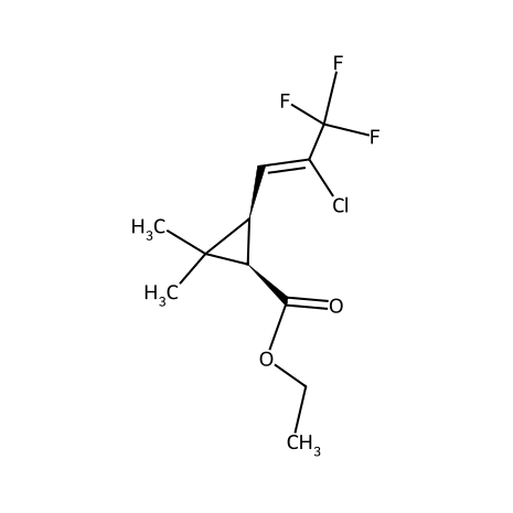 CCOC(=O)[C@@H]1[C@H](C=C(Cl)C(F)(F)F)C1(C)C